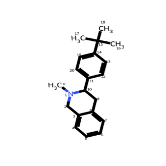 CN1Cc2ccccc2CC1c1ccc(C(C)(C)C)cc1